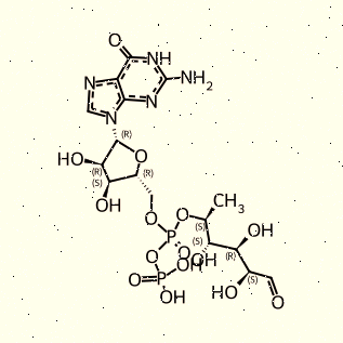 C[C@H](OP(=O)(OC[C@H]1O[C@@H](n2cnc3c(=O)[nH]c(N)nc32)[C@H](O)[C@@H]1O)OP(=O)(O)O)[C@@H](O)[C@@H](O)[C@H](O)C=O